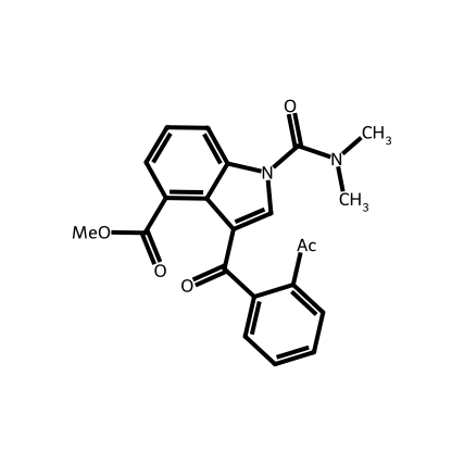 COC(=O)c1cccc2c1c(C(=O)c1ccccc1C(C)=O)cn2C(=O)N(C)C